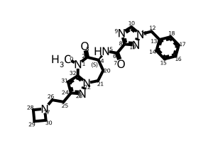 CN1C(=O)[C@@H](NC(=O)c2ncn(Cc3ccccc3)n2)CCn2nc(CCN3CCC3)cc21